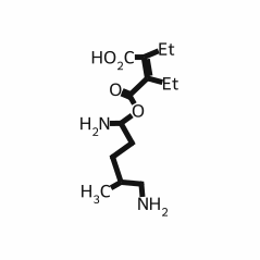 CC/C(C(=O)O)=C(\CC)C(=O)OC(N)CCC(C)CN